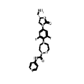 NC[C@H]1CN(c2cc(F)c(N3CCON(C(=O)Nc4ccncc4)CC3)c(F)c2)C(=O)O1